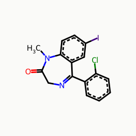 CN1C(=O)CN=C(c2ccccc2Cl)c2cc(I)ccc21